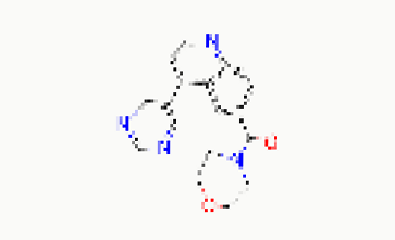 O=C(c1ccc2nccc(-c3cncnc3)c2c1)N1CCOCC1